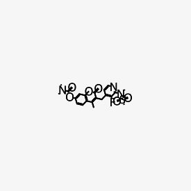 Cc1c(Cc2ccnc(N(C)S(C)(=O)=O)c2F)c(=O)oc2cc(OC(=O)N(C)C)ccc12